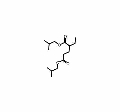 CCC(CCC(=O)OCC(C)C)C(=O)OCC(C)C